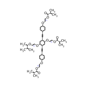 C=C(C)C(=C)O/C=C/Oc1cc(C#Cc2ccc(O/C=C/OC(=O)C(=C)C)cc2)c(O/C=C/OC(=O)C(=C)C)cc1C#Cc1ccc(O/C=C/OC(=O)C(=C)C)cc1